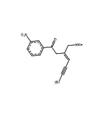 CNC/C(=C/C#CC(C)(C)C)CC(=O)c1cccc([N+](=O)[O-])c1